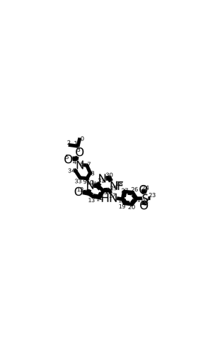 CC(C)OC(=O)N1CCC(n2c(=O)ccc3c(Nc4ccc(S(C)(=O)=O)cc4F)ncnc32)CC1